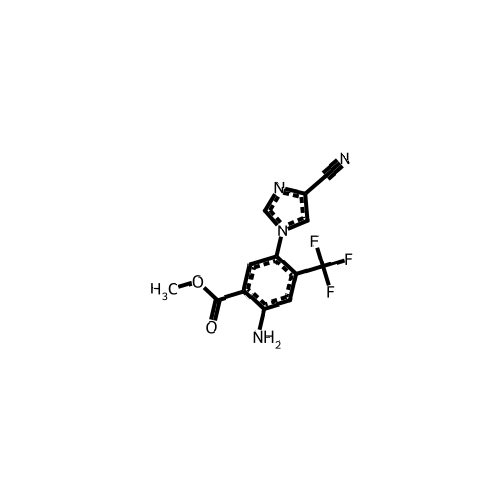 COC(=O)c1cc(-n2cnc(C#N)c2)c(C(F)(F)F)cc1N